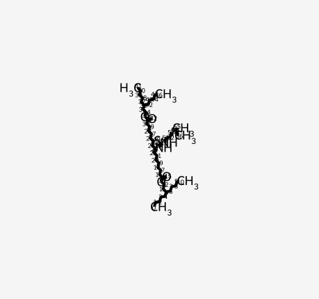 CCCCCC(CCCCC)CCOC(=O)CCCCCCCC(CCCCCCCC(=O)OCCC(CCCCC)CCCCC)NC(=S)NCCCN(C)C